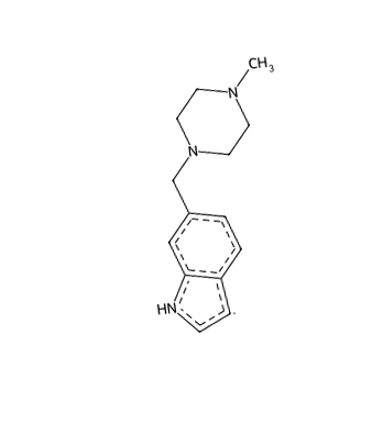 CN1CCN(Cc2ccc3[c]c[nH]c3c2)CC1